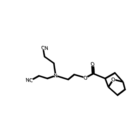 N#CCCN(CCC#N)CCOC(=O)C1CC2CCC1O2